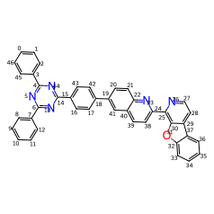 c1ccc(-c2nc(-c3ccccc3)nc(-c3ccc(-c4ccc5nc(-c6nccc7c6oc6ccccc67)ccc5c4)cc3)n2)cc1